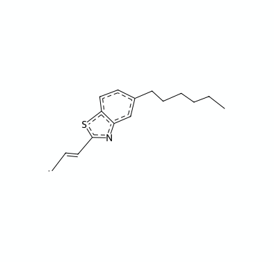 [CH2]C=Cc1nc2cc(CCCCCC)ccc2s1